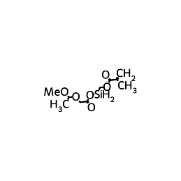 C=C(C)C(=O)OC[SiH2]OC(=O)COC(C)OC